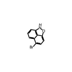 Brc1ccc2c3c(cccc13)NO2